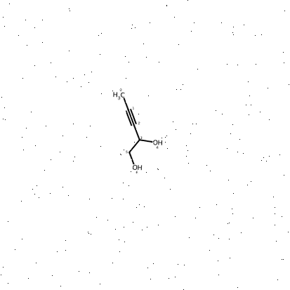 CC#CC(O)CO